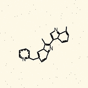 CC1=CC=CC2C(C3=C(C)C4C=C(Cc5ccccn5)C=CC4=N3)=CN=C12